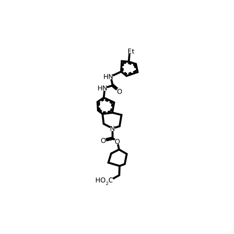 CCc1cccc(NC(=O)Nc2ccc3c(c2)CCN(C(=O)OC2CCC(CC(=O)O)CC2)C3)c1